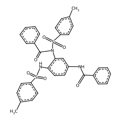 Cc1ccc(S(=O)(=O)Nc2ccc(NC(=O)c3ccccc3)cc2N(C(=O)c2ccccc2)S(=O)(=O)c2ccc(C)cc2)cc1